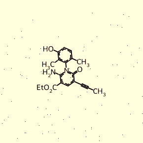 CC#Cc1cc(C(=O)OCC)c(N)n(-c2c(C)ccc(O)c2C)c1=O